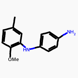 COc1ccc(C)cc1Nc1ccc(N)cc1